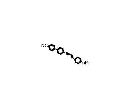 CCC[C@H]1CC[C@H](/C=C/C#C[C@H]2CC[C@H](c3ccc(C#N)cc3)CC2)CC1